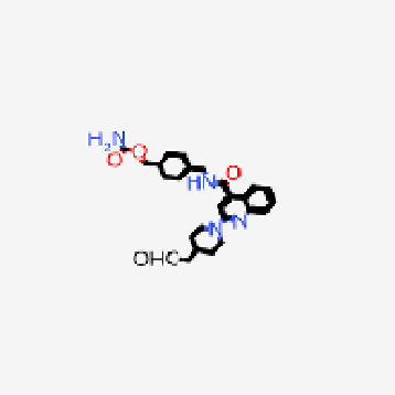 NC(=O)OCC1CCC(CNC(=O)c2cc(N3CCC(CC=O)CC3)nc3ccccc23)CC1